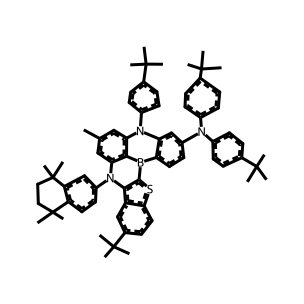 Cc1cc2c3c(c1)N(c1ccc4c(c1)C(C)(C)CCC4(C)C)c1c(sc4ccc(C(C)(C)C)cc14)B3c1ccc(N(c3ccc(C(C)(C)C)cc3)c3ccc(C(C)(C)C)cc3)cc1N2c1ccc(C(C)(C)C)cc1